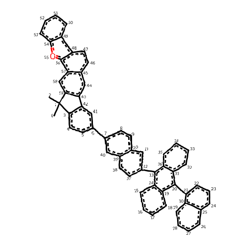 CC1(C)c2ccc(-c3ccc4cc(-c5c6ccccc6c(-c6cccc7ccccc67)c6ccccc56)ccc4c3)cc2-c2cc3ccc4c5ccccc5oc4c3cc21